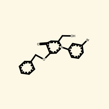 O=c1cc(CO)n(-c2cccc(Br)c2)cc1OCc1ccccc1